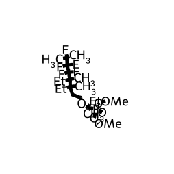 CCC(C)(CCOC(C)(CC)P(=O)(OOC)OOC)C(C)(CC)C(F)(F)C(F)(F)C(C)(C)F